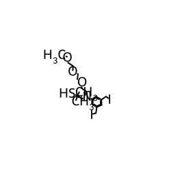 COCCOCCOCCN(CC(C)(C)S)c1cc(CI)cc(CI)c1